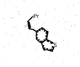 CC(C)/C=C\c1ccc2sccc2c1